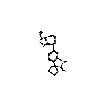 Nc1nnc2c(-c3ccc4c(c3)NC(=O)C43CCCC3)cccn12